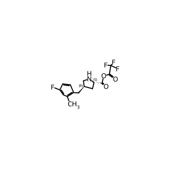 Cc1cc(F)ccc1C[C@H]1CN[C@H](C(=O)OC(=O)C(F)(F)F)C1